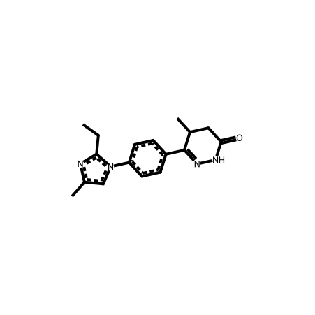 CCc1nc(C)cn1-c1ccc(C2=NNC(=O)CC2C)cc1